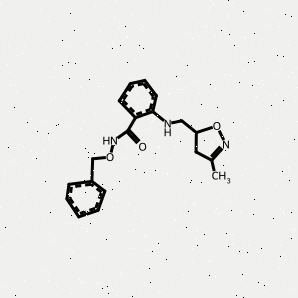 CC1=NOC(CNc2ccccc2C(=O)NOCc2ccccc2)C1